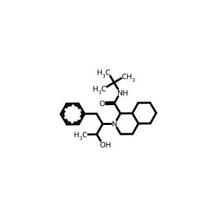 CC(O)[C](Cc1ccccc1)N1CCC2CCCCC2C1C(=O)NC(C)(C)C